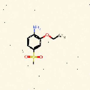 CS(=O)(=O)c1ccc(N)c(OCC(F)(F)F)c1